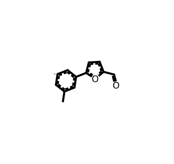 Cc1c[c]cc(-c2ccc(C=O)o2)c1